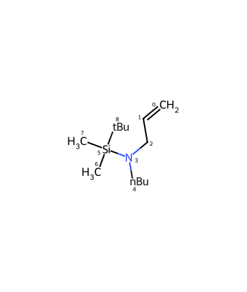 C=CCN(CCCC)[Si](C)(C)C(C)(C)C